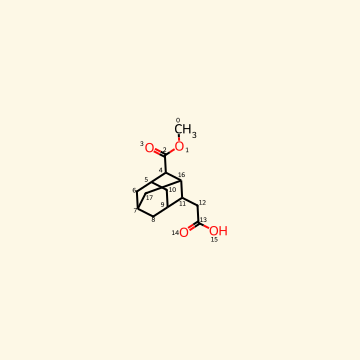 COC(=O)C1C2CC3CC(C2)C(CC(=O)O)C1C3